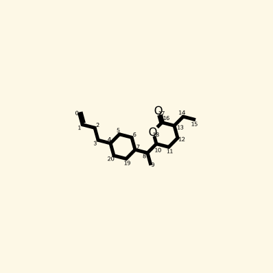 C=CCCC1CCC(C(C)C2CCC(CC)C(=O)O2)CC1